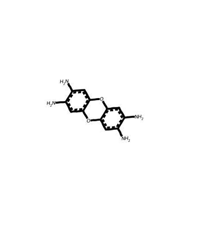 Nc1cc2c(cc1N)Oc1cc(N)c(N)cc1O2